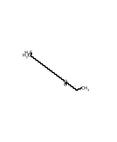 CCCC/C=C\CCCCCCCC(=O)OCCCCCCCCCCCCCCCCCCCCCCCCCCCCCC(C)CC